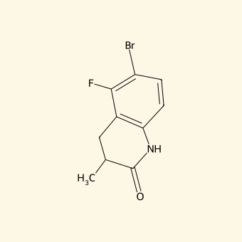 CC1Cc2c(ccc(Br)c2F)NC1=O